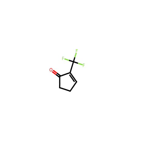 O=C1CCC=C1C(F)(F)F